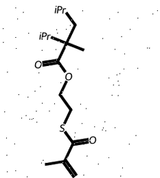 C=C(C)C(=O)SCCOC(=O)C(C)(CC(C)C)C(C)C